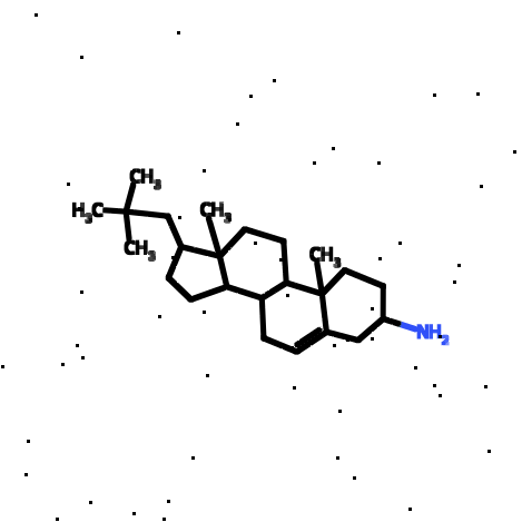 CC(C)(C)CC1CCC2C3CC=C4CC(N)CCC4(C)C3CCC12C